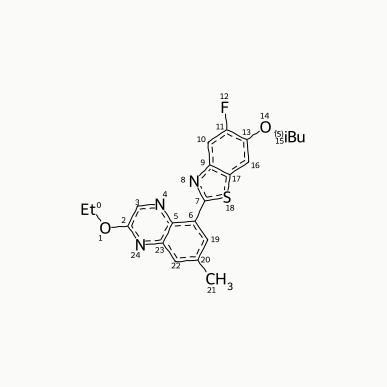 CCOc1cnc2c(-c3nc4cc(F)c(O[C@@H](C)CC)cc4s3)cc(C)cc2n1